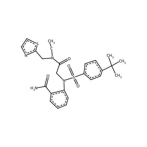 CCN(Cc1nccs1)C(=O)CN(c1ccccc1C(N)=O)S(=O)(=O)c1ccc(C(C)(C)C)cc1